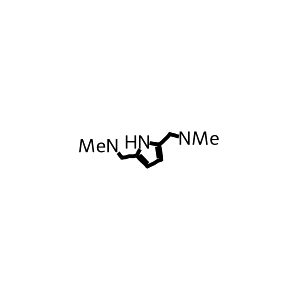 CNCc1ccc(CNC)[nH]1